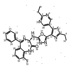 CCc1ncc(-c2sc(CC)nc2-c2nnc(N[C@@H]3N=C(c4ccccc4)c4cccc(F)c4NC3=O)o2)cn1